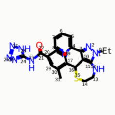 CCn1nc(-c2ccccn2)c2c1NCCSC2c1ccc(C(=O)Nc2nnn[nH]2)cc1C